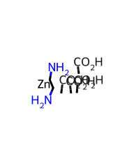 CC(=O)O.CC(=O)O.CC(=O)O.CC(=O)O.NCCN.[Zn]